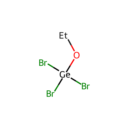 CC[O][Ge]([Br])([Br])[Br]